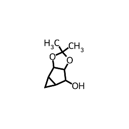 CC1(C)OC2C(O)C3CC3C2O1